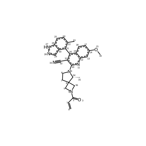 C=CC(=O)N1CC2(CCN(c3nc4cc(OC)ccc4c(-c4c(C)ccc5[nH]ncc45)c3C#N)[C@@H]2C)C1